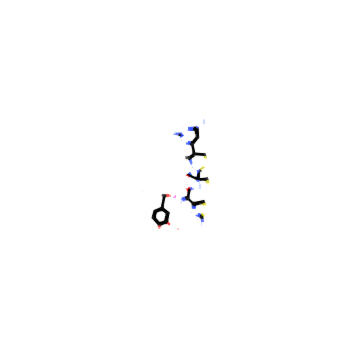 Nc1cc(C2=C(C(=O)O)N3C(=O)C(C=S)(NC(=O)/C(=N\OC(C(=O)O)c4ccc(O)c(O)c4)c4csc(N)n4)[C@@H]3SC2)nc(N)n1